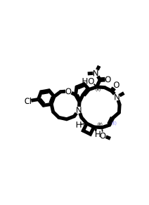 CO[C@H]1/C=C/CCN(C)C(=O)C[C@](O)(C(=O)N(C)C)c2ccc3c(c2)N(CCCCc2cc(Cl)ccc2CO3)C[C@@H]2CC[C@H]21